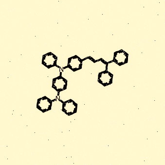 C(/C=C/c1ccc(N(c2ccccc2)c2ccc(N(c3ccccc3)c3ccccc3)cc2)cc1)=C(c1ccccc1)c1ccccc1